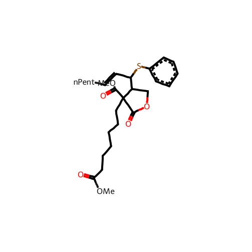 CCCCCC=CC(Sc1ccccc1)C1COC(=O)C1(CCCCCCC(=O)OC)C(=O)OC